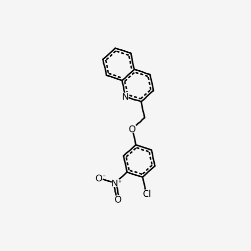 O=[N+]([O-])c1cc(OCc2ccc3ccccc3n2)ccc1Cl